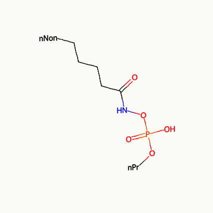 CCCCCCCCCCCCCC(=O)NOP(=O)(O)OCCC